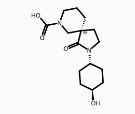 O=C(O)N1CCC[C@@]2(CCN([C@H]3CC[C@H](O)CC3)C2=O)C1